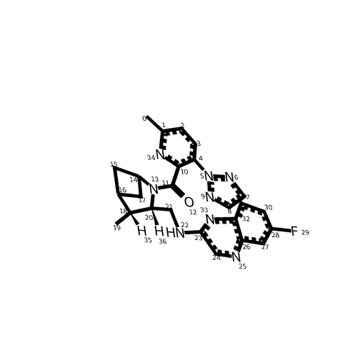 Cc1ccc(-n2nccn2)c(C(=O)N2C3CC(C3)[C@@H](C)[C@H]2CNc2cnc3cc(F)ccc3n2)n1